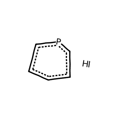 I.c1ccpcc1